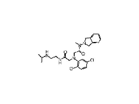 CC(C)NCCNC(=O)CN(CC(=O)N(C)N1Cc2ccccc2C1)c1cc(Cl)ccc1Cl